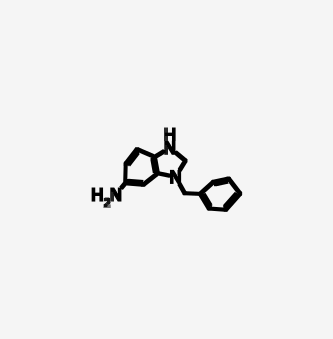 Nc1ccc2c(c1)N(Cc1ccccc1)CN2